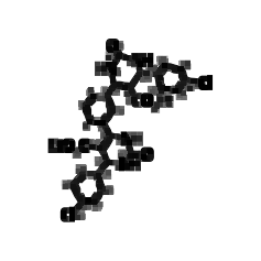 CCOC(=O)C1=C(c2cccc(C3=C(C(=O)OCC)C(c4ccc(Cl)cc4)NC(=O)N3)c2)NC(=O)NC1c1ccc(Cl)cc1